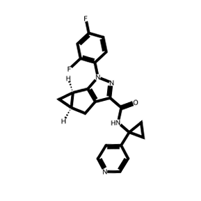 O=C(NC1(c2ccncc2)CC1)c1nn(-c2ccc(F)cc2F)c2c1C[C@H]1C[C@@H]21